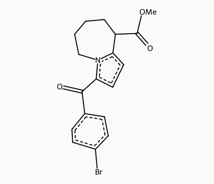 COC(=O)C1CCCCn2c(C(=O)c3ccc(Br)cc3)ccc21